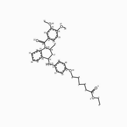 CCOC(=O)CCCCCOc1ccc(NC2CC(C)N(C(=O)c3ccc(OC)c(OC)c3)c3ccccc32)cc1